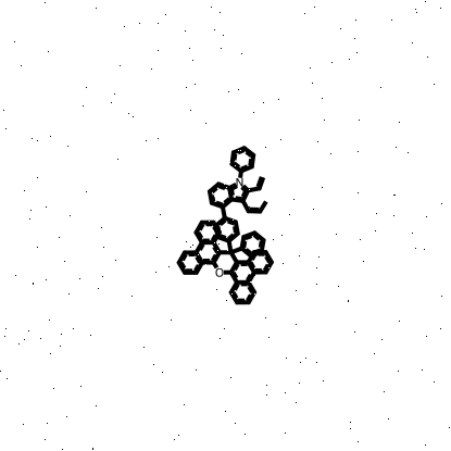 C=Cc1c(/C=C\C)c2c(-c3ccc(C4(c5ccccc5)c5c(c6ccccc6c6ccccc56)Oc5c4c4ccccc4c4ccccc54)cc3)cccc2n1-c1ccccc1